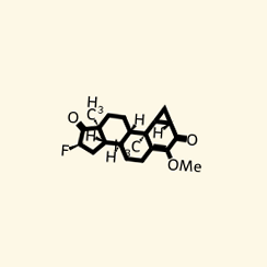 COC1=C2CC[C@H]3[C@@H]4C[C@@H](F)C(=O)[C@@]4(C)CC[C@@H]3[C@@]2(C)C2C[C@@H]2C1=O